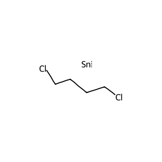 ClCCCCCl.[Sn]